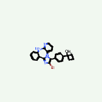 CC1(c2ccc(-c3c(Br)nc4n3-c3cccnc3Nc3ccccc3-4)cc2)CCC1